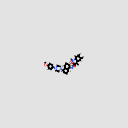 COc1ccc(N2CCN(c3cccc4c5c(ccc34)OC3(C=N5)N(C)c4cc(C)c(C)cc4C3(C)C)CC2)cc1